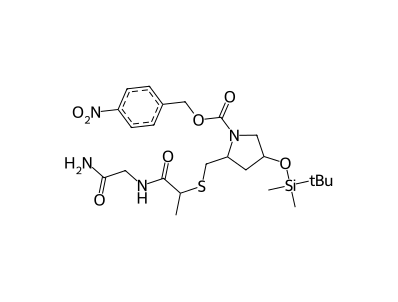 CC(SCC1CC(O[Si](C)(C)C(C)(C)C)CN1C(=O)OCc1ccc([N+](=O)[O-])cc1)C(=O)NCC(N)=O